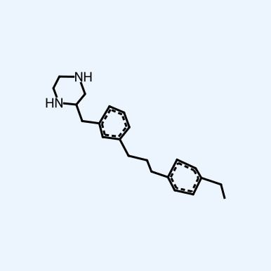 CCc1ccc(CCCc2cccc(CC3CNCCN3)c2)cc1